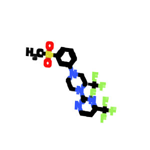 CS(=O)(=O)c1cccc(N2CCN(c3nccc(C(F)(F)F)n3)[C@@H](C(F)(F)F)C2)c1